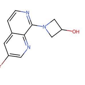 OC1CN(c2nccc3cc(Br)cnc23)C1